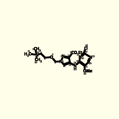 CCOC(=O)c1nn(COCC[Si](C)(C)C)cc1Nc1nc(Cl)ncc1OC